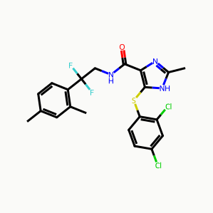 Cc1ccc(C(F)(F)CNC(=O)c2nc(C)[nH]c2Sc2ccc(Cl)cc2Cl)c(C)c1